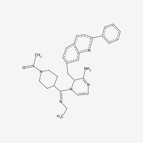 CC/N=C(/C1CCN(C(C)=O)CC1)N1C=CN=C(N)C1Cc1ccc2ccc(-c3ccccc3)nc2c1